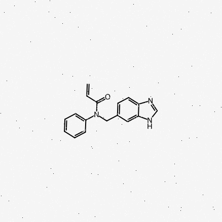 C=CC(=O)N(Cc1ccc2nc[nH]c2c1)c1ccccc1